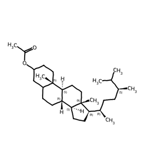 CC(=O)OC1CC[C@@]2(C)C(CC[C@H]3[C@@H]4CC[C@H]([C@H](C)CC[C@H](C)C(C)C)[C@@]4(C)CC[C@@H]32)C1